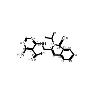 CC(C)n1c(CNc2ncnc(N)c2C(=N)I)cc2ccccc2c1=O